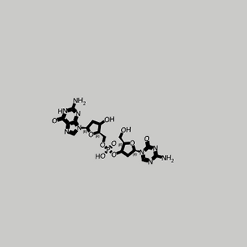 Nc1ncn([C@H]2CC(OP(=O)(O)OC[C@H]3O[C@@H](n4cnc5c(=O)[nH]c(N)nc54)CC3O)[C@@H](CO)O2)c(=O)n1